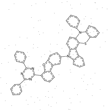 c1ccc(-c2nc(-c3ccccc3)nc(-c3cccc4c3oc3ccc(-n5c6ccccc6c6c7c(ccc65)N(c5ccccc5)c5ccccc5S7)cc34)n2)cc1